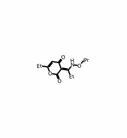 CCC1=CC(=O)C(=C(CC)NOC(C)C)C(=O)O1